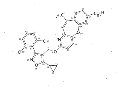 CC1=Cc2nc(OCc3c(-c4c(Cl)cccc4Cl)noc3C3CC3)ccc2Oc2cc(C(=O)O)ccc21